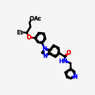 CCC(CCOC(C)=O)Oc1cccc(-n2cnc3cc(C(=O)NCc4cccnc4)ccc32)c1